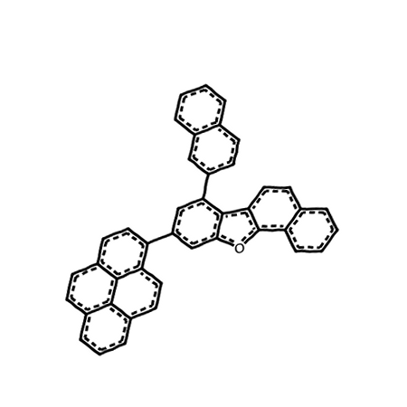 c1ccc2cc(-c3cc(-c4ccc5ccc6cccc7ccc4c5c67)cc4oc5c6ccccc6ccc5c34)ccc2c1